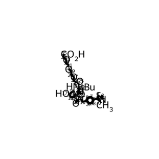 Cc1ncsc1-c1ccc(CNC(=O)[C@@H]2CC(O)CN2C(=O)[C@@H](NC(=O)COCCOCCOCC(=O)O)C(C)(C)C)cc1